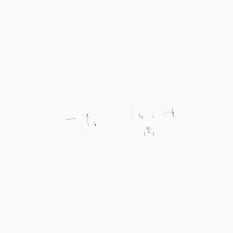 NCCCO[Si](=O)O